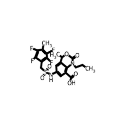 CCCN1C(=O)OC(C)c2cc(NS(=O)(=O)Cc3c(F)c(F)c(C)c(F)c3F)cc(C(=O)O)c21